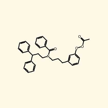 CC(=O)OOc1cccc(CCCN(CCC(c2ccccc2)c2ccccc2)C(=O)c2ccccc2)c1